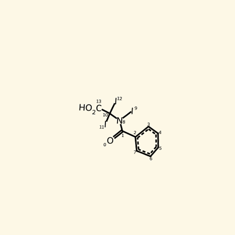 O=C(c1ccccc1)N(I)C(I)(I)C(=O)O